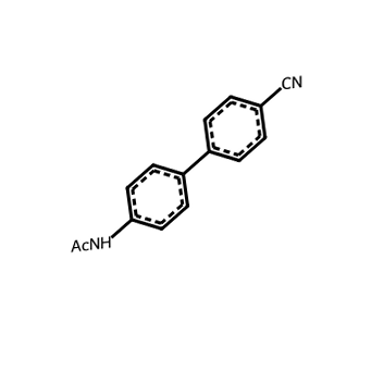 CC(=O)Nc1ccc(-c2ccc(C#N)cc2)cc1